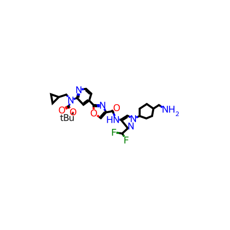 CC(C)(C)OC(=O)N(CC1CC1)c1cc(-c2nc(C(=O)Nc3cn(C4CCC(CN)CC4)nc3C(F)F)co2)ccn1